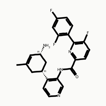 CC1=C[C@H](N)C[C@H](c2ccncc2NC(=O)c2ccc(F)c(-c3ccc(F)cc3F)n2)C1